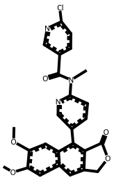 COc1cc2cc3c(c(-c4ccc(N(C)C(=O)c5ccc(Cl)nc5)nc4)c2cc1OC)C(=O)OC3